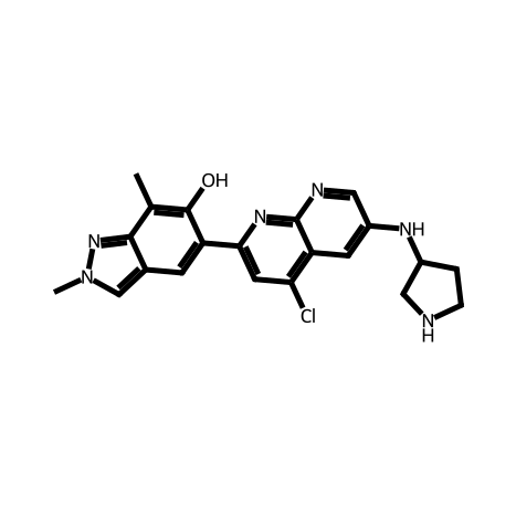 Cc1c(O)c(-c2cc(Cl)c3cc(NC4CCNC4)cnc3n2)cc2cn(C)nc12